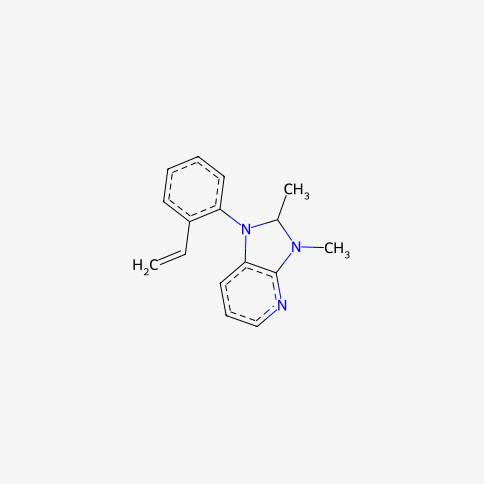 C=Cc1ccccc1N1c2cccnc2N(C)C1C